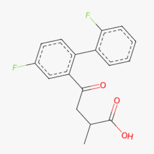 CC(CC(=O)c1cc(F)ccc1-c1ccccc1F)C(=O)O